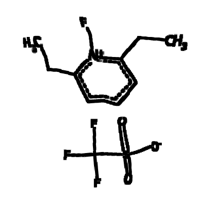 CCc1cccc(CC)[n+]1F.O=S(=O)([O-])C(F)(F)F